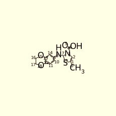 CC1=CN(C(=O)O)C(Nc2ccc3c(c2)OCCO3)S1